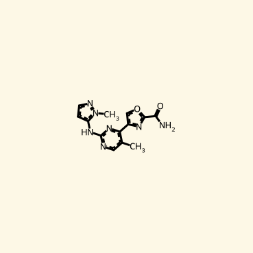 Cc1cnc(Nc2ccnn2C)nc1-c1coc(C(N)=O)n1